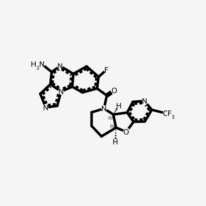 Nc1nc2cc(F)c(C(=O)N3CCC[C@@H]4Oc5cc(C(F)(F)F)ncc5[C@@H]43)cc2n2cncc12